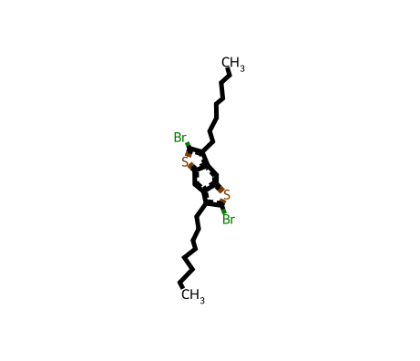 CCCCCCCCc1c(Br)sc2cc3c(CCCCCCCC)c(Br)sc3cc12